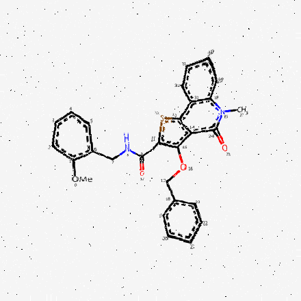 COc1ccccc1CNC(=O)c1sc2c(c1OCc1ccccc1)c(=O)n(C)c1ccccc21